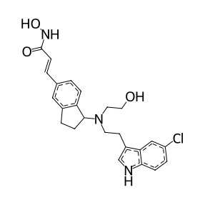 O=C(/C=C/c1ccc2c(c1)CCC2N(CCO)CCc1c[nH]c2ccc(Cl)cc12)NO